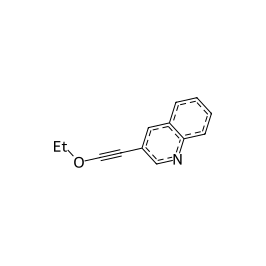 CCOC#Cc1cnc2ccccc2c1